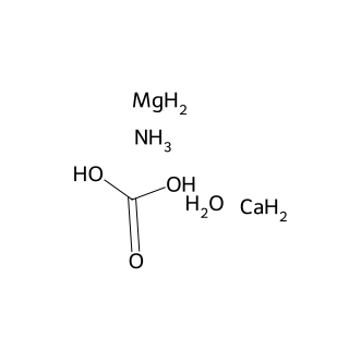 N.O.O=C(O)O.[CaH2].[MgH2]